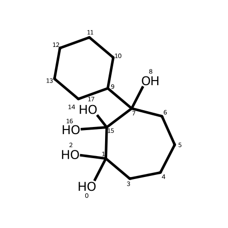 OC1(O)CCCCC(O)(C2CCCCC2)C1(O)O